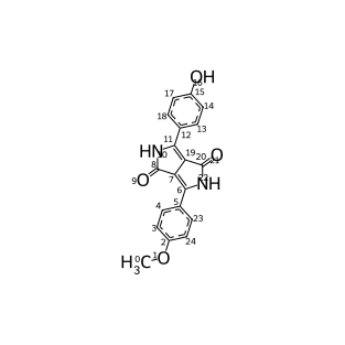 COc1ccc(C2=C3C(=O)NC(c4ccc(O)cc4)=C3C(=O)N2)cc1